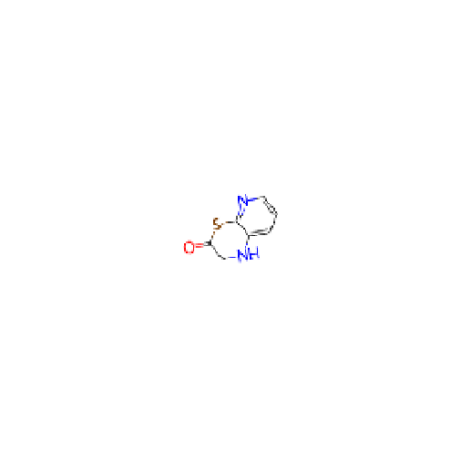 O=C1CNc2cccnc2S1